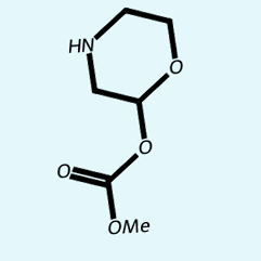 COC(=O)OC1CNCCO1